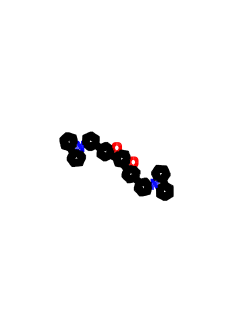 c1cc(-c2ccc3c(c2)oc2cc4oc5cc(-c6cccc(-n7c8ccccc8c8ccccc87)c6)ccc5c4cc23)cc(-n2c3ccccc3c3ccccc32)c1